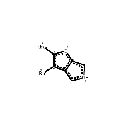 CC(C)(C)c1oc2c[nH]cc2c1C(C)(C)C